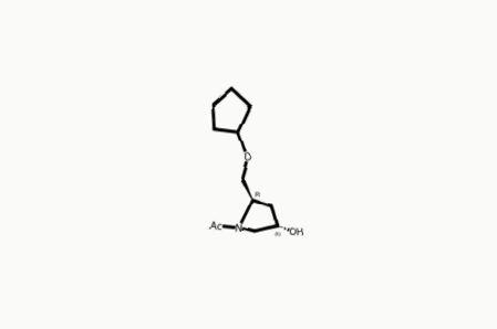 CC(=O)N1C[C@@H](O)C[C@@H]1COC1CCCC1